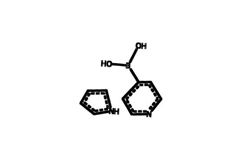 OB(O)c1ccncc1.c1cc[nH]c1